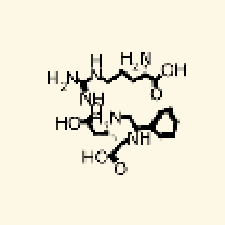 N=C(N)NCCC[C@@H](N)C(=O)O.NCC(N[C@@H](CCC(=O)O)C(=O)O)c1ccccc1